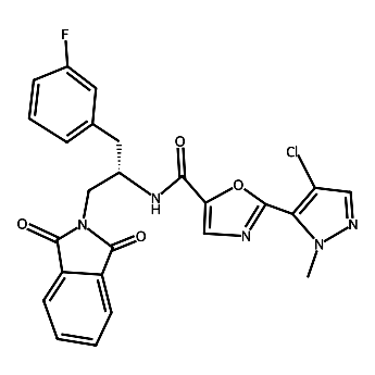 Cn1ncc(Cl)c1-c1ncc(C(=O)N[C@@H](Cc2cccc(F)c2)CN2C(=O)c3ccccc3C2=O)o1